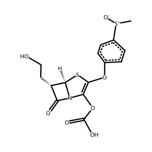 C[S+]([O-])c1ccc(OC2=C(OC(=O)O)N3C(=O)[C@H](CCO)[C@H]3S2)cc1